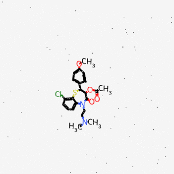 COc1ccc(C2Sc3c(Cl)cccc3N(CCN(C)C)C(=O)C2OC(C)=O)cc1